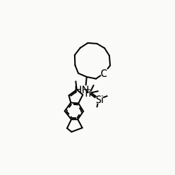 CC1=Cc2cc3c(cc2[CH]1[Ti]([CH3])([CH3])([NH]C1CCCCCCCCCCC1)=[Si](C)C)CCC3